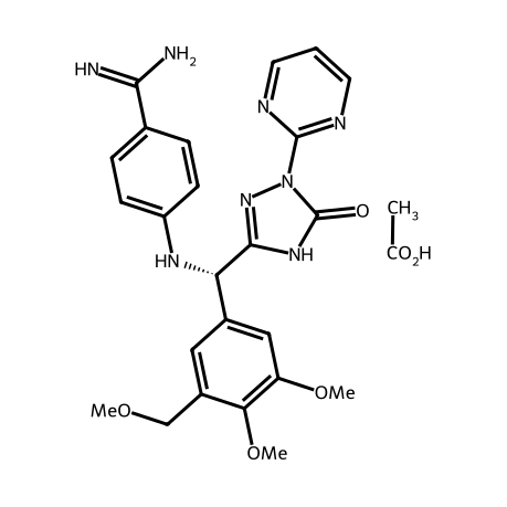 CC(=O)O.COCc1cc([C@H](Nc2ccc(C(=N)N)cc2)c2nn(-c3ncccn3)c(=O)[nH]2)cc(OC)c1OC